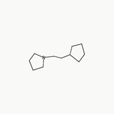 C1CCC(CCN2CCCC2)C1